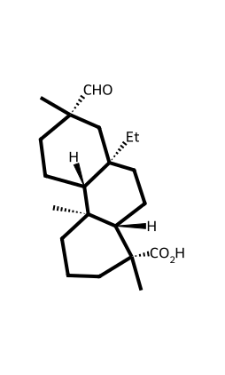 CC[C@]12CC[C@H]3[C@@](C)(CCC[C@@]3(C)C(=O)O)[C@@H]1CC[C@](C)(C=O)C2